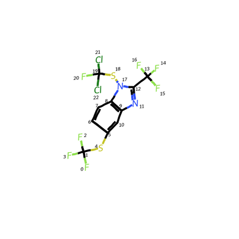 FC(F)(F)Sc1ccc2c(c1)nc(C(F)(F)F)n2SC(F)(Cl)Cl